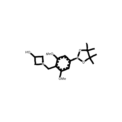 COc1cc(B2OC(C)(C)C(C)(C)O2)cc(OC)c1CN1CC(O)C1